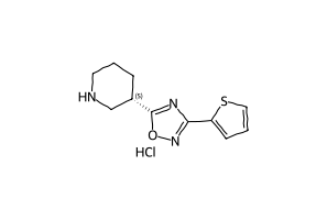 Cl.c1csc(-c2noc([C@H]3CCCNC3)n2)c1